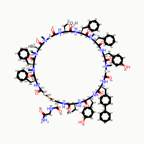 CCCC[C@H]1C(=O)N(C)CC(=O)N[C@@H](CC(=O)O)C(=O)N[C@@H](Cc2ccccc2)C(=O)N(C)[C@@H](Cc2ccccc2)C(=O)N[C@@H](Cc2ccc(O)cc2)C(=O)N(C)CC(=O)N[C@@H](Cc2ccc(-c3ccccc3)cc2)C(=O)N[C@@H](Cc2ccc(O)cc2)C(=O)N[C@@H](CC(C)C)C(=O)N[C@H](C(=O)NCC(N)=O)CSCC(=O)N[C@@H](Cc2ccccc2)C(=O)N(C)[C@@H](Cc2ccccc2)C(=O)N1C